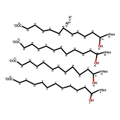 CCCCCCC(O)CCCCCCCCCCC(=O)[O-].CCCCCCC(O)CCCCCCCCCCC(=O)[O-].CCCCCCC(O)CCCCCCCCCCC(=O)[O-].CCCCCCC(O)CCCCCCCCCCC(=O)[O-].[Al+3].[K+]